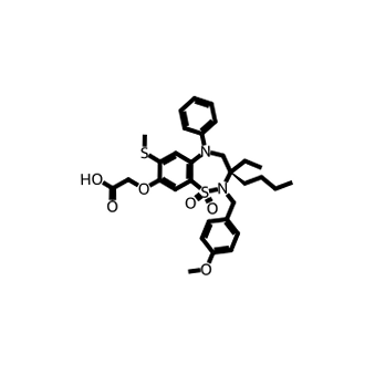 CCCC[C@]1(CC)CN(c2ccccc2)c2cc(SC)c(OCC(=O)O)cc2S(=O)(=O)N1Cc1ccc(OC)cc1